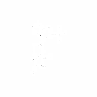 O=C1NC(=O)C2(CCN(c3cc(C(F)(F)F)cc4cncn34)C2)N1